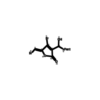 CCCCCC(O)C1=C(Br)/C(=C/Br)OC1=O